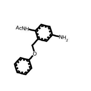 CC(=O)Nc1ccc(N)cc1COc1ccccc1